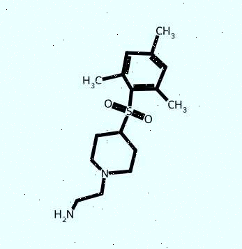 Cc1cc(C)c(S(=O)(=O)C2CCN(CCN)CC2)c(C)c1